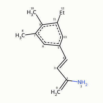 C=C(N)/C=C/c1cc(C)c(C)c(CC)c1